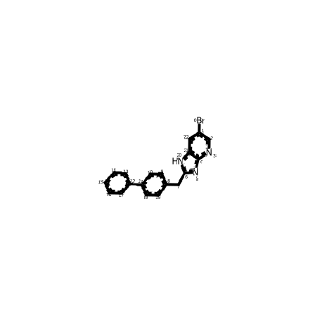 Brc1cnc2nc(Cc3ccc(-c4ccccc4)cc3)[nH]c2c1